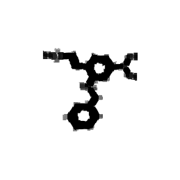 O=C(O)/C=C/c1ccc(B(O)O)cc1NCc1ccccc1